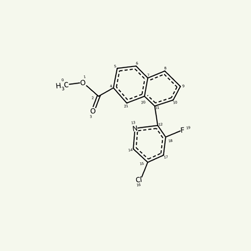 COC(=O)c1ccc2cccc(-c3ncc(Cl)cc3F)c2c1